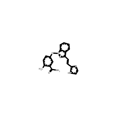 Cc1ccc(On2nc(C=Cc3ncc[nH]3)c3ccccc32)cc1C(N)=O